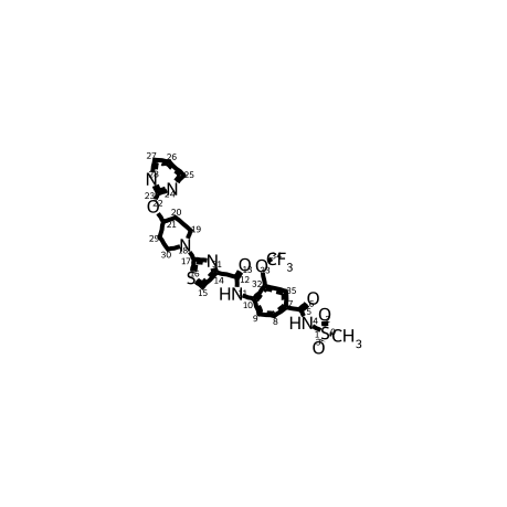 CS(=O)(=O)NC(=O)c1ccc(NC(=O)c2csc(N3CCC(Oc4ncccn4)CC3)n2)c(OC(F)(F)F)c1